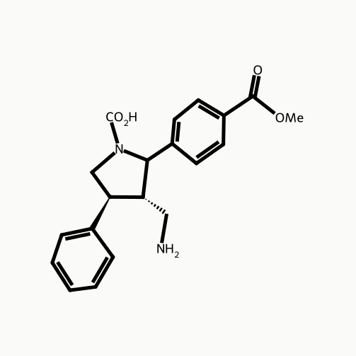 COC(=O)c1ccc(C2[C@H](CN)[C@@H](c3ccccc3)CN2C(=O)O)cc1